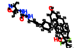 Cc1noc(C)c1NC(=O)NCC#Cc1ccc([C@H]2C[C@@]3(C)[C@@H](CC[C@@]3(O)C(F)(F)C(F)(F)F)[C@@H]3CCC4=CC(=O)CCC4=C32)cc1